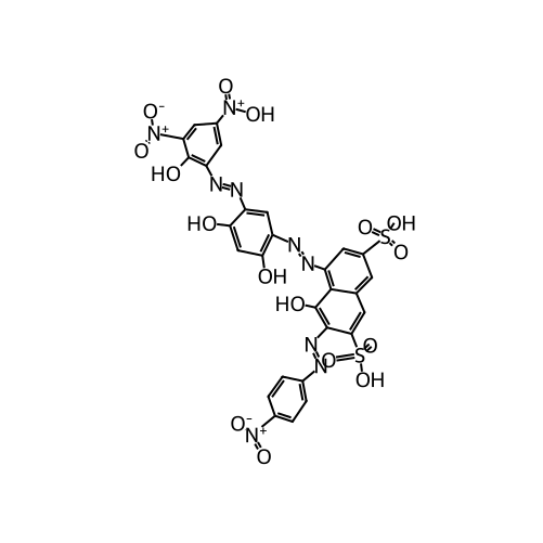 O=[N+]([O-])c1ccc(/N=N/c2c(S(=O)(=O)O)cc3cc(S(=O)(=O)O)cc(/N=N/c4cc(/N=N/c5cc([N+](=O)O)cc([N+](=O)[O-])c5O)c(O)cc4O)c3c2O)cc1